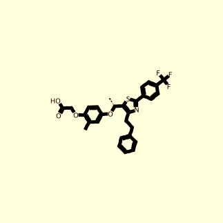 Cc1cc(O[C@H](C)c2sc(-c3ccc(C(F)(F)F)cc3)nc2CCc2ccccc2)ccc1OCC(=O)O